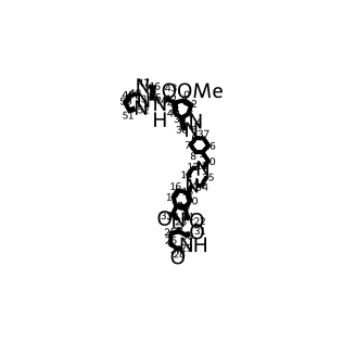 COc1cc2nn(C3CCC(CN4CCN(c5ccc6c(c5)C(=O)N(C5CCC(=O)NC5=O)C6=O)CC4)CC3)cc2cc1C(=O)Nc1cnc2cccnn12